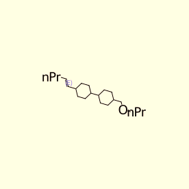 CCC/C=C/C1CCC(C2CCC(COCCC)CC2)CC1